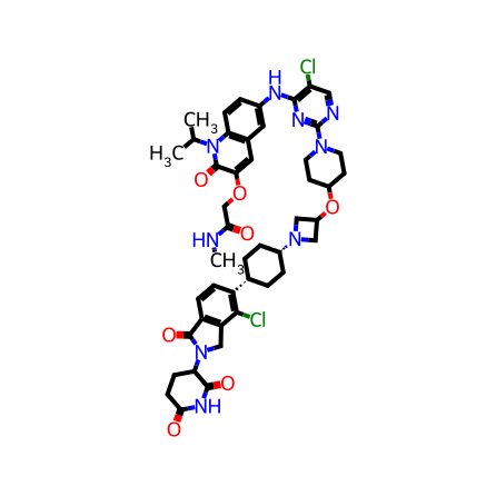 CNC(=O)COc1cc2cc(Nc3nc(N4CCC(OC5CN([C@H]6CC[C@@H](c7ccc8c(c7Cl)CN(C7CCC(=O)NC7=O)C8=O)CC6)C5)CC4)ncc3Cl)ccc2n(C(C)C)c1=O